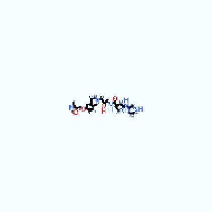 Cc1ncoc1COc1ccc2c(c1)CCN(C[C@@H](O)CNC(=O)C1CCNC(NC3CCCNC3)C1)C2